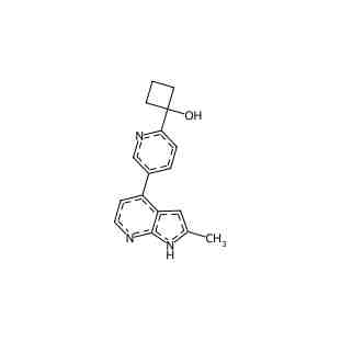 Cc1cc2c(-c3ccc(C4(O)CCC4)nc3)ccnc2[nH]1